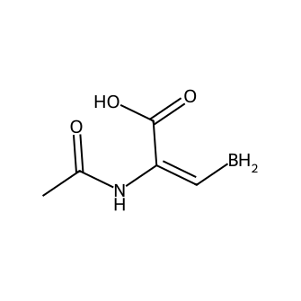 B/C=C(/NC(C)=O)C(=O)O